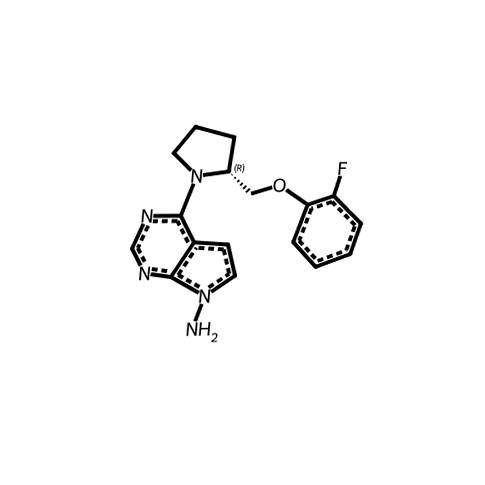 Nn1ccc2c(N3CCC[C@@H]3COc3ccccc3F)ncnc21